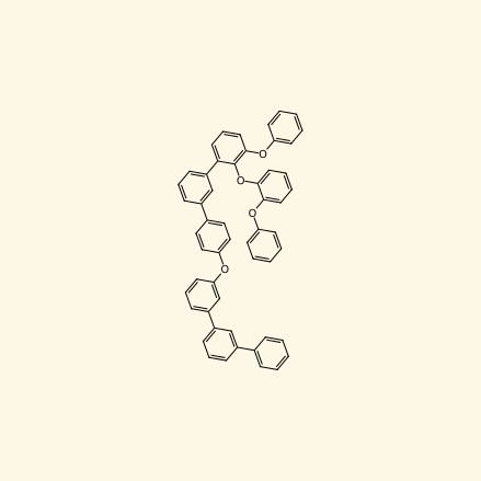 c1ccc(Oc2ccccc2Oc2c(Oc3ccccc3)cccc2-c2cccc(-c3ccc(Oc4cccc(-c5cccc(-c6ccccc6)c5)c4)cc3)c2)cc1